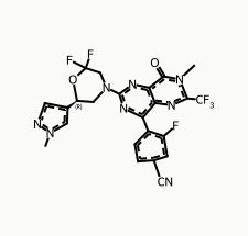 Cn1cc([C@@H]2CN(c3nc(-c4ccc(C#N)cc4F)c4nc(C(F)(F)F)n(C)c(=O)c4n3)CC(F)(F)O2)cn1